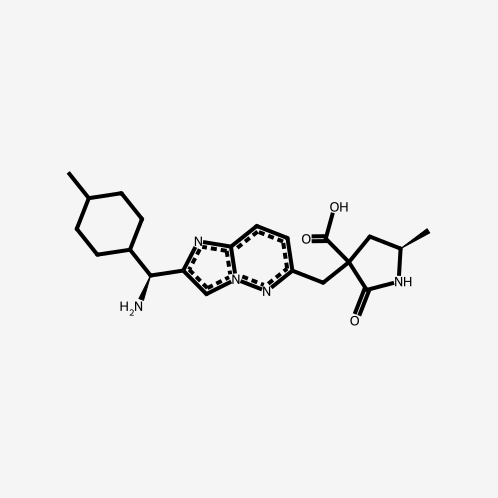 CC1CCC([C@H](N)c2cn3nc(CC4(C(=O)O)C[C@@H](C)NC4=O)ccc3n2)CC1